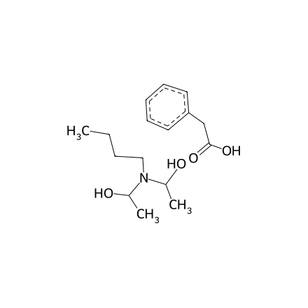 CCCCN(C(C)O)C(C)O.O=C(O)Cc1ccccc1